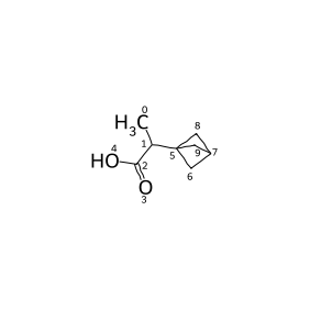 CC(C(=O)O)C12CC(C1)C2